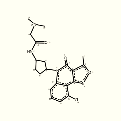 Cc1onc2c1c(=O)n(C1CCC(NC(=O)CN(C)C)C1)c1cccc(Cl)c21